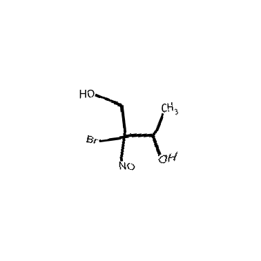 CC(O)C(Br)(CO)N=O